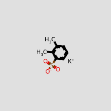 Cc1cccc(S(=O)(=O)[O-])c1C.[K+]